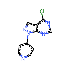 Clc1ncnc2c1cnn2-c1ccncc1